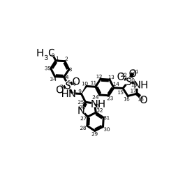 Cc1ccc(S(=O)(=O)N[C@@H](Cc2ccc(C3CC(=O)NS3(=O)=O)cc2)c2nc3ccccc3[nH]2)cc1